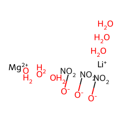 O.O.O.O.O.O.O=[N+]([O-])[O-].O=[N+]([O-])[O-].O=[N+]([O-])[O-].[Li+].[Mg+2]